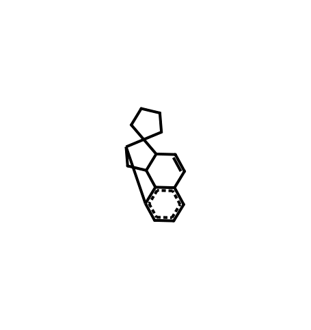 C1=CC2C3CC(c4cccc1c43)C21CCCC1